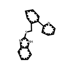 c1ccc(-c2ccccc2CSc2nc3ccccc3[nH]2)nc1